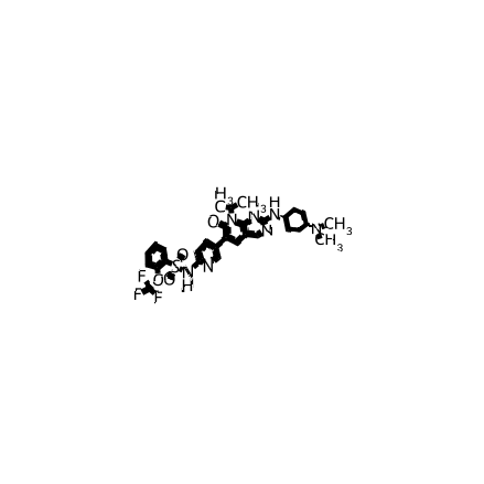 CC(C)n1c(=O)c(-c2ccc(NS(=O)(=O)c3ccccc3OC(F)(F)F)nc2)cc2cnc(N[C@H]3CC[C@H](N(C)C)CC3)nc21